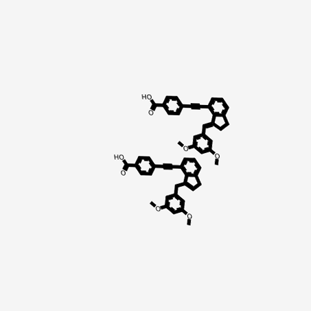 COc1cc(/C=C2\CCc3cccc(C#Cc4ccc(C(=O)O)cc4)c32)cc(OC)c1.COc1cc(CC2=CCc3cccc(C#Cc4ccc(C(=O)O)cc4)c32)cc(OC)c1